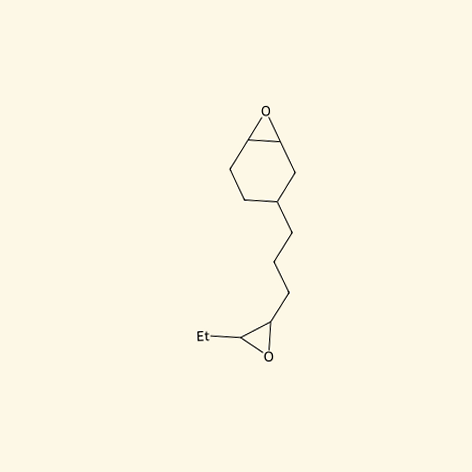 CCC1OC1CCCC1CCC2OC2C1